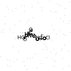 O=C(O)c1cnc2c(c1)nc(CN1CCC(c3cccc(OCc4ccc(Cl)cc4F)n3)CC1)n2C[C@@H]1CCO1